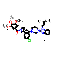 COc1cc(C(=O)N2CCC(CCN3CCCN(c4nc5ccccc5n4CC=C(C)C)CC3)(c3ccc(Cl)cc3)C2)cc(OC)c1OC